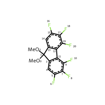 COC1(OC)c2cc(F)c(F)c(F)c2-c2c1cc(F)c(F)c2F